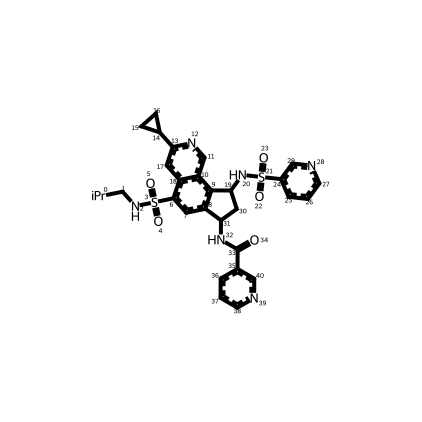 CC(C)CNS(=O)(=O)c1cc2c(c3cnc(C4CC4)cc13)C(NS(=O)(=O)c1cccnc1)CC2NC(=O)c1cccnc1